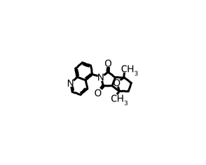 CC12CCC(C)(O1)C1C(=O)N(c3cccc4ncccc34)C(=O)C12